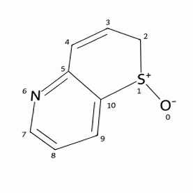 [O-][S+]1CC=Cc2ncccc21